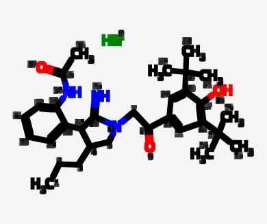 Br.CCCC1CN(CC(=O)c2cc(C(C)(C)C)c(O)c(C(C)(C)C)c2)C(=N)C1c1ccccc1NC(C)=O